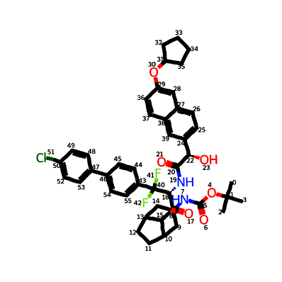 CC(C)(C)OC(=O)NC1CC2CCC(C1)C2C(=O)[C@@H](NC(=O)[C@H](O)c1ccc2cc(OC3CCCC3)ccc2c1)C(F)(F)c1ccc(-c2ccc(Cl)cc2)cc1